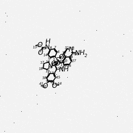 CCS(=O)(=O)c1ccc(NC(=O)OC)cc1[C@H]1CCCN1C(=O)[C@H](Nc1ccc2c(N)nccc2c1)c1ccc(OC)c(OC)c1